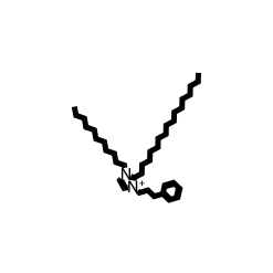 CCCCCCCCCCCCCCCCc1n(CCCCCCCCCCC)cc[n+]1CCCc1ccccc1